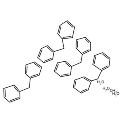 O.O.O.O.c1ccc(Cc2ccccc2)cc1.c1ccc(Cc2ccccc2)cc1.c1ccc(Cc2ccccc2)cc1.c1ccc(Cc2ccccc2)cc1